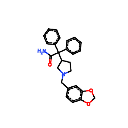 NC(=O)C(c1ccccc1)(c1ccccc1)C1CCN(Cc2ccc3c(c2)OCO3)C1